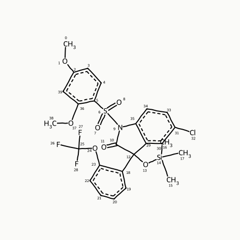 COc1ccc(S(=O)(=O)N2C(=O)C(O[Si](C)(C)C)(c3ccccc3OC(F)(F)F)c3cc(Cl)ccc32)c(OC)c1